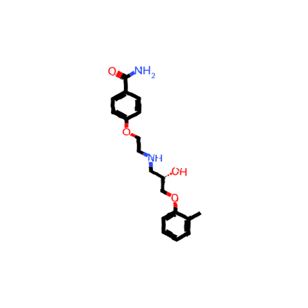 Cc1ccccc1OC[C@@H](O)CNCCOc1ccc(C(N)=O)cc1